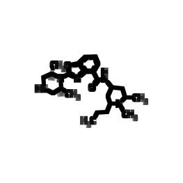 CCCC1CC(NC(=O)c2cccc3oc(N4[C@@H](C)CNC[C@@H]4C)nc23)CC(C)N1C